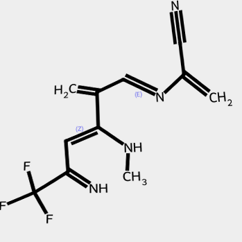 C=C(C#N)/N=C/C(=C)/C(=C/C(=N)C(F)(F)F)NC